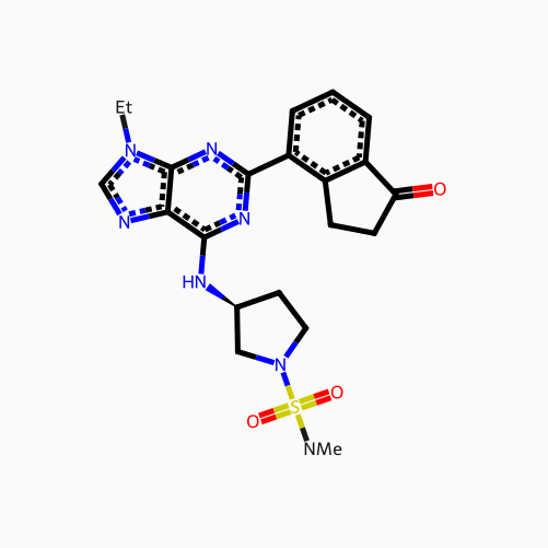 CCn1cnc2c(N[C@H]3CCN(S(=O)(=O)NC)C3)nc(-c3cccc4c3CCC4=O)nc21